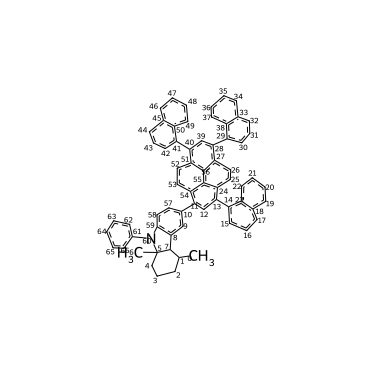 CC1CCCC2(C)C1c1cc(-c3cc(-c4cccc5ccccc45)c4ccc5c(-c6cccc7ccccc67)cc(-c6cccc7ccccc67)c6ccc3c4c65)ccc1N2c1ccccc1